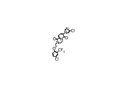 O=C1c2ccc(-n3cnc(Cl)c3)c(=O)n2CCN1CCOc1ccc(Cl)cc1C(F)(F)F